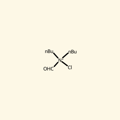 CCCC[N+](Cl)(C=O)CCCC